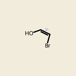 O/C=C\Br